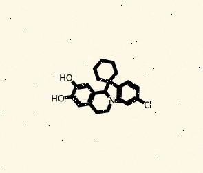 CN1CCc2cc(O)c(O)cc2C1C1(c2ccc(Cl)cc2)CCCCC1